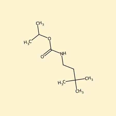 CC(C)OC(=O)NCCC(C)(C)C